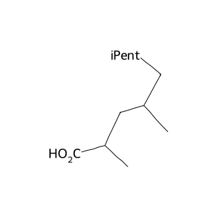 CCCC(C)CC(C)CC(C)C(=O)O